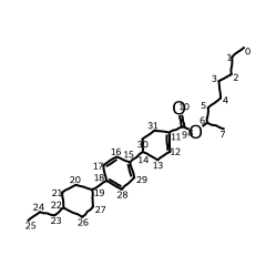 CCCCCCC(C)OC(=O)C1=CCC(c2ccc(C3CCC(CCC)CC3)cc2)CC1